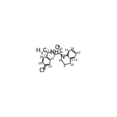 CC(NCC(C=O)N1CCCc2ccccc21)c1ccc(Cl)cc1